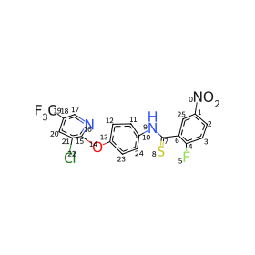 O=[N+]([O-])c1ccc(F)c(C(=S)Nc2ccc(Oc3ncc(C(F)(F)F)cc3Cl)cc2)c1